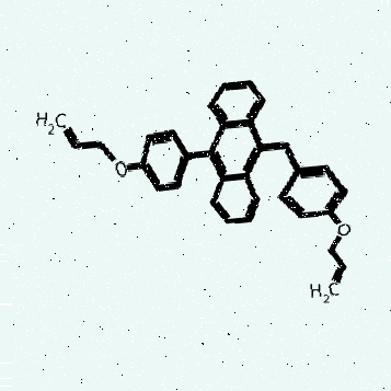 C=CCOc1ccc(Cc2c3ccccc3c(-c3ccc(OCC=C)cc3)c3ccccc23)cc1